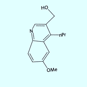 [CH2]CCc1c(CO)cnc2ccc(OC)cc12